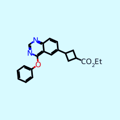 CCOC(=O)C1CC(c2ccc3ncnc(Oc4ccccc4)c3c2)C1